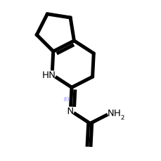 C=C(N)/N=C1\CCC2=C(CCC2)N1